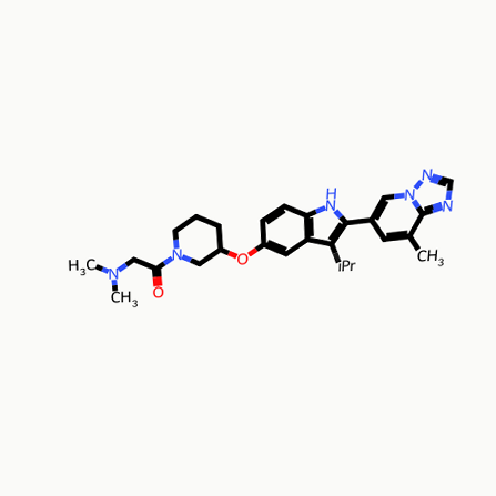 Cc1cc(-c2[nH]c3ccc(OC4CCCN(C(=O)CN(C)C)C4)cc3c2C(C)C)cn2ncnc12